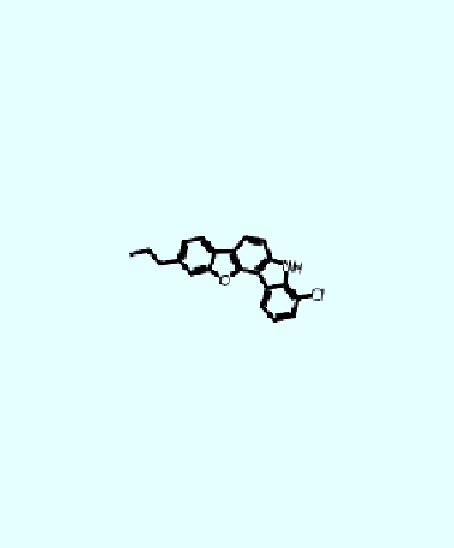 CCCc1ccc2c(c1)oc1c2ccc2[nH]c3c(Cl)cccc3c21